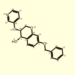 O[C@@H]1c2ccc(OCc3ccccc3)cc2OC[C@@H]1Oc1cccnc1